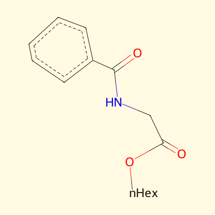 CCCCCCOC(=O)CNC(=O)c1ccccc1